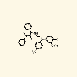 COc1cc([C@@H](CCN[C@@H](C(=O)N(C)c2ccccc2)c2ccccc2)c2ccc(C(F)(F)F)cc2)ccc1Cl